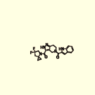 O=C(c1cc2ccccc2[nH]1)N1CCc2n[nH]c(C(=O)N3CC(F)(F)CC34CC4)c2C1